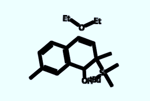 CCOCC.Cc1ccc2c(c1)C(O)C(C)([Si](C)(C)C(C)(C)C)C=C2